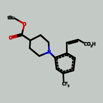 CC(C)(C)OC(=O)C1CCN(c2cc(C(F)(F)F)ccc2/C=C\C(=O)O)CC1